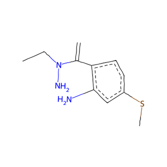 C=C(c1ccc(SC)cc1N)N(N)CC